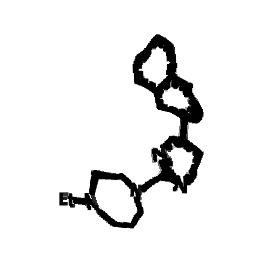 CCN1CCCN(c2nccc(-c3ccc4ccccc4c3)n2)CC1